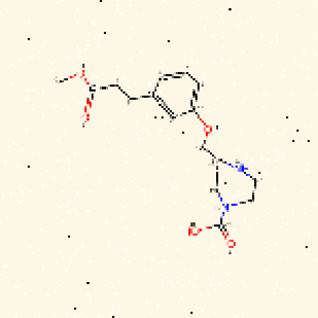 COC(=O)CCc1cccc(OCC2CN(C(=O)O)CCN2)c1